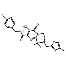 Cc1coc(CN2CCn3c(nc(C(=O)NCc4ccc(F)cc4)c(O)c3=O)C2(C)C)n1